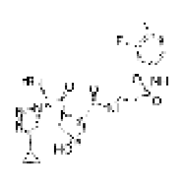 Cc1ccc(NS(=O)(=O)CCNC(=O)[C@@H]2C[C@@H](O)CN2C(=O)[C@@H](n2cc(C3CC3)nn2)C(C)(C)C)cc1F